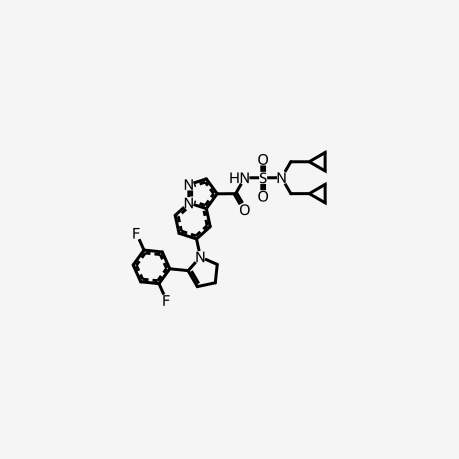 O=C(NS(=O)(=O)N(CC1CC1)CC1CC1)c1cnn2ccc(N3CCC=C3c3cc(F)ccc3F)cc12